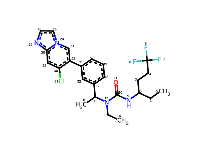 CCC(CCC(F)(F)F)NC(=O)N(CC)C(C)c1cccc(-c2cn3ccnc3cc2Cl)c1